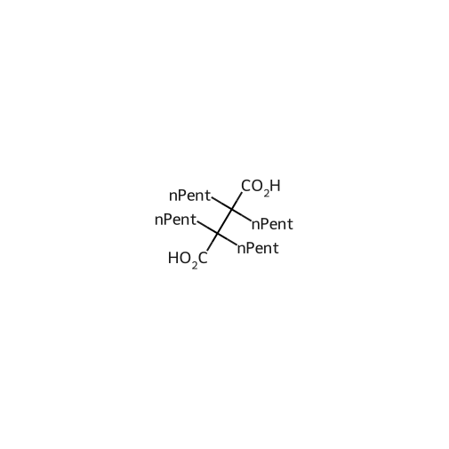 CCCCCC(CCCCC)(C(=O)O)C(CCCCC)(CCCCC)C(=O)O